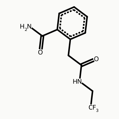 NC(=O)c1ccccc1CC(=O)NCC(F)(F)F